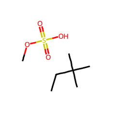 CCC(C)(C)C.COS(=O)(=O)O